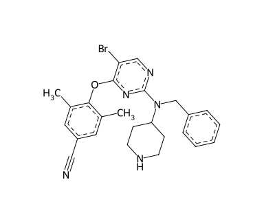 Cc1cc(C#N)cc(C)c1Oc1nc(N(Cc2ccccc2)C2CCNCC2)ncc1Br